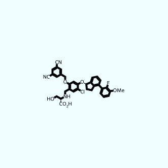 COc1cccc(-c2cccc3c2CC[C@@H]3Oc2cc(OCc3cc(C#N)cc(C#N)c3)c(CN[C@@H](CO)C(=O)O)cc2Cl)c1F